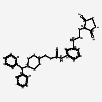 O=C(CCN1CCN(C(c2ccccc2)c2ccccc2)CC1)Nc1cccc(NCCN2C(=O)CCC2=O)c1